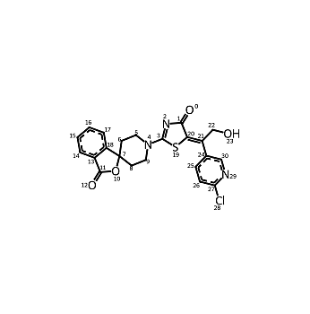 O=C1N=C(N2CCC3(CC2)OC(=O)c2ccccc23)SC1=C(CO)c1ccc(Cl)nc1